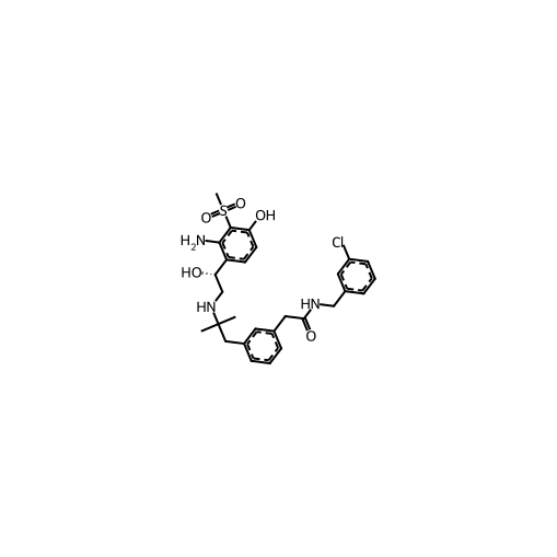 CC(C)(Cc1cccc(CC(=O)NCc2cccc(Cl)c2)c1)NC[C@H](O)c1ccc(O)c(S(C)(=O)=O)c1N